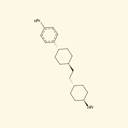 CCCc1ccc([C@H]2CC[C@H](CC[C@H]3CC[C@H](CCC)CC3)CC2)cc1